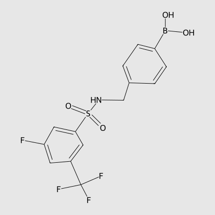 O=S(=O)(NCc1ccc(B(O)O)cc1)c1cc(F)cc(C(F)(F)F)c1